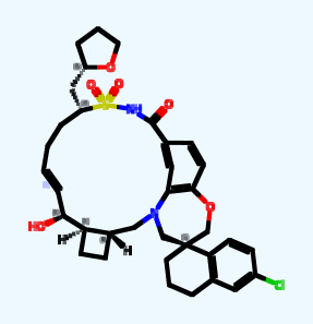 O=C1NS(=O)(=O)[C@@H](C[C@@H]2CCCO2)CC/C=C/[C@H](O)[C@@H]2CC[C@H]2CN2C[C@@]3(CCCc4cc(Cl)ccc43)COc3ccc1cc32